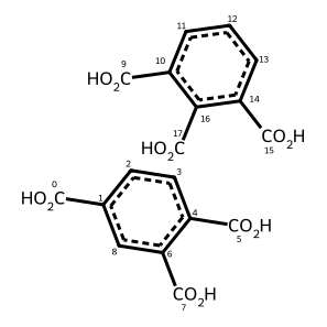 O=C(O)c1ccc(C(=O)O)c(C(=O)O)c1.O=C(O)c1cccc(C(=O)O)c1C(=O)O